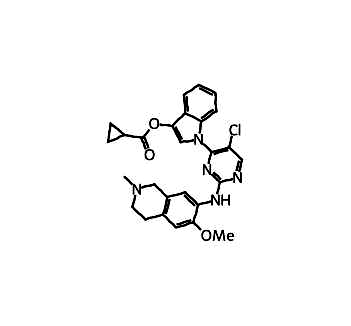 COc1cc2c(cc1Nc1ncc(Cl)c(-n3cc(OC(=O)C4CC4)c4ccccc43)n1)CN(C)CC2